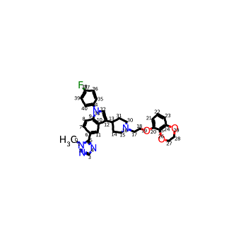 Cn1ncnc1-c1ccc2c(c1)c(C1CCN(CCOc3cccc4c3OCCO4)CC1)cn2-c1ccc(F)cc1